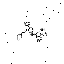 CCOc1nc(Nc2ccc(-c3cnco3)c(OCCN3CCOCC3)c2)cc(N)c1C#N